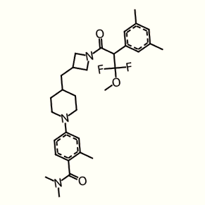 COC(F)(F)C(C(=O)N1CC(CC2CCN(c3ccc(C(=O)N(C)C)c(C)c3)CC2)C1)c1cc(C)cc(C)c1